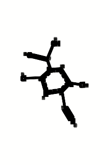 N#Cc1nc(Cl)c(C(=O)O)cc1Cl